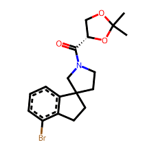 CC1(C)OC[C@@H](C(=O)N2CCC3(CCc4c(Br)cccc43)C2)O1